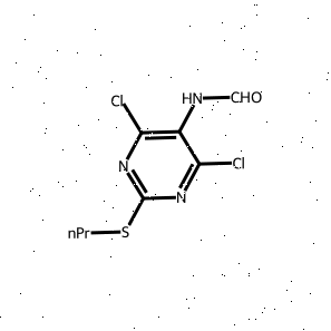 CCCSc1nc(Cl)c(NC=O)c(Cl)n1